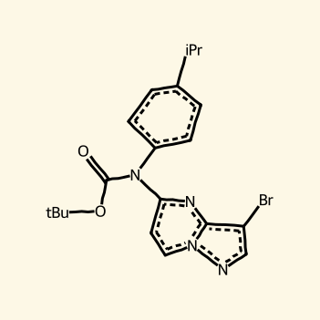 CC(C)c1ccc(N(C(=O)OC(C)(C)C)c2ccn3ncc(Br)c3n2)cc1